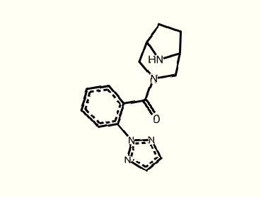 O=C(c1ccccc1-n1nccn1)N1CC2CCC(C1)N2